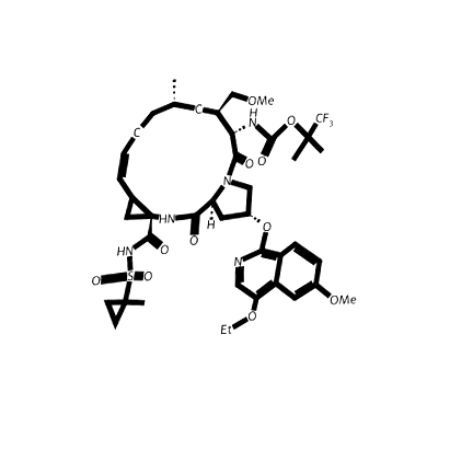 CCOc1cnc(O[C@@H]2C[C@H]3C(=O)N[C@]4(C(=O)NS(=O)(=O)C5(C)CC5)CC4/C=C\CC[C@H](C)C[C@@H](COC)[C@H](NC(=O)OC(C)(C)C(F)(F)F)C(=O)N3C2)c2ccc(OC)cc12